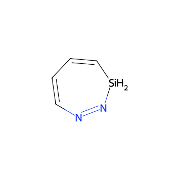 C1=CN=N[SiH2]C=C1